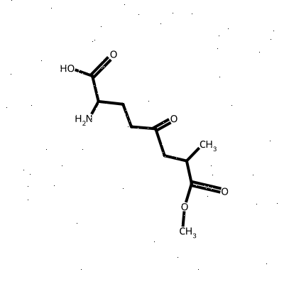 COC(=O)C(C)CC(=O)CCC(N)C(=O)O